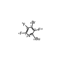 CCC(C)c1nc(F)c(F)c(Br)c1F